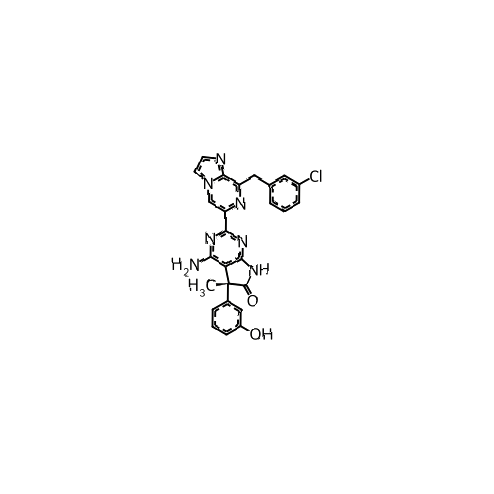 C[C@]1(c2cccc(O)c2)C(=O)Nc2nc(-c3cn4ccnc4c(Cc4cccc(Cl)c4)n3)nc(N)c21